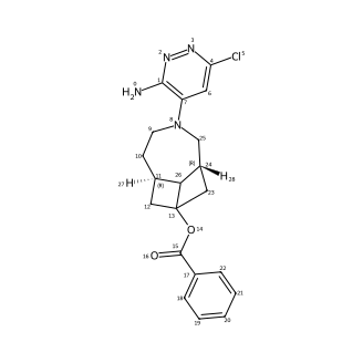 Nc1nnc(Cl)cc1N1CC[C@@H]2CC3(OC(=O)c4ccccc4)C[C@@H](C1)C23